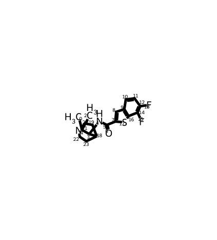 CC1(C)C(NC(=O)c2cc3ccc(F)c(F)c3s2)C2CCN1CC2